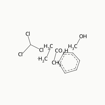 CC(=O)O.CO.ClC(Cl)Cl.[CH2]C.c1ccccc1